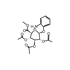 COC(=O)[C@H]1O[C@@H](Oc2ccccc2N)[C@H](OC(C)=O)[C@@H](OC(C)=O)[C@@H]1OC(C)=O